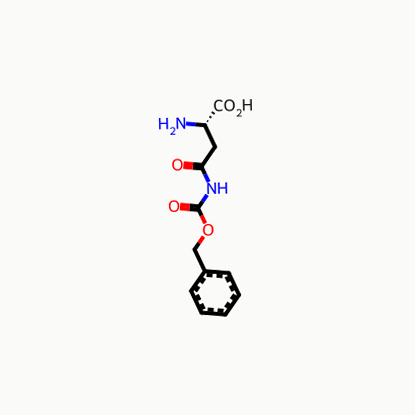 N[C@@H](CC(=O)NC(=O)OCc1ccccc1)C(=O)O